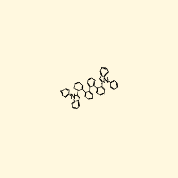 c1ccc(-n2c(-c3ccccc3-c3ccccc3-c3ccccc3-c3ccccc3-c3cc4ccccc4n3-c3ccccc3)cc3ccccc32)cc1